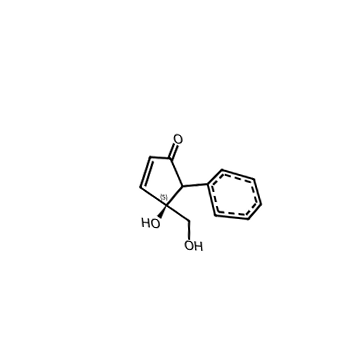 O=C1C=C[C@@](O)(CO)C1c1ccccc1